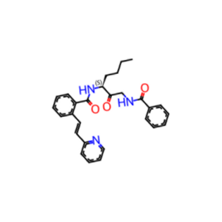 CCCC[C@H](NC(=O)c1ccccc1C=Cc1ccccn1)C(=O)CNC(=O)c1ccccc1